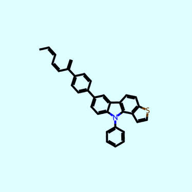 C=C(/C=C\C=C/C)c1ccc(-c2ccc3c(c2)c2ccc4sccc4c2n3-c2ccccc2)cc1